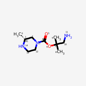 C[C@@H]1CN(C(=O)OC(C)(C)CN)CCN1